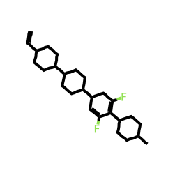 C=CC1CCC(C2CCC(C3C=C(F)C(C4CCC(C)CC4)=C(F)C3)CC2)CC1